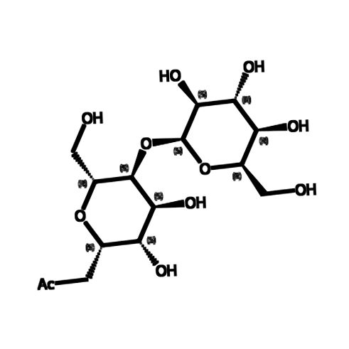 CC(=O)C[C@@H]1O[C@H](CO)[C@@H](O[C@@H]2O[C@H](CO)[C@H](O)[C@@H](O)[C@@H]2O)[C@@H](O)[C@@H]1O